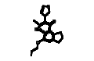 CCCOc1cc2c(c3c(=O)c(C4C=CSC4)c(C)[nH]c13)CCC2